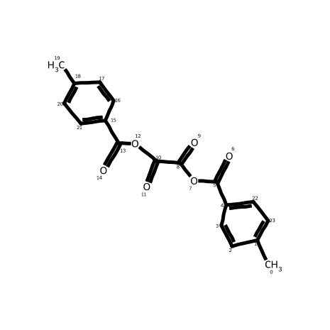 Cc1ccc(C(=O)OC(=O)C(=O)OC(=O)c2ccc(C)cc2)cc1